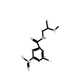 COC(C)CNC(=O)c1cc(I)cc([N+](=O)[O-])c1